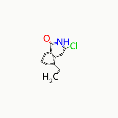 C=Cc1cccc2c(=O)[nH]c(Cl)cc12